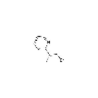 CC(=CBr)c1ccccn1